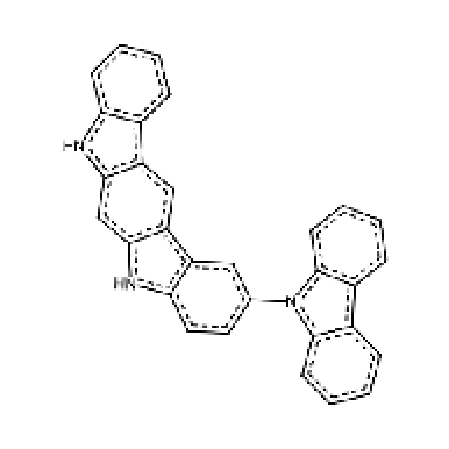 c1ccc2c(c1)[nH]c1cc3[nH]c4ccc(-n5c6ccccc6c6ccccc65)cc4c3cc12